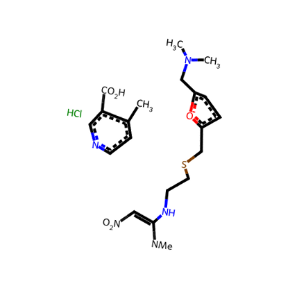 CNC(=C[N+](=O)[O-])NCCSCc1ccc(CN(C)C)o1.Cc1ccncc1C(=O)O.Cl